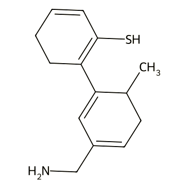 CC1CC=C(CN)C=C1C1=C(S)C=CCC1